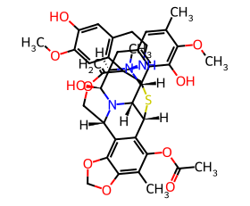 C=C1OC[C@H]2c3c4c(c(C)c(OC(C)=O)c3[C@@H](SC[C@]13NCCc1cc(O)c(OC)cc13)[C@H]1[C@H]3c5c(cc(C)c(OC)c5O)C[C@H]([C@H](O)N12)N3C)OCO4